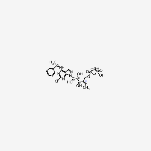 C/C=C(/COP(=O)(O)CP(=O)(O)O)[C@@H](O)[C@@H](O)[C@@H](O)n1ncc2c(N[C@H](C)c3ccccc3)nc(Cl)nc21